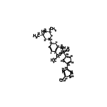 COc1ccc(N2CC(C)NC(C)C2)cc1NS(=O)(=O)c1ccc(-c2nsc(Cl)n2)s1